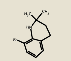 CC1(C)CCc2cccc(Br)c2N1